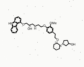 COc1cc(CCO[C@H]2CCCC[C@H]2N2CCC(O)C2)ccc1OCCNC[C@H](O)COc1cccc2[nH]c3ccccc3c12